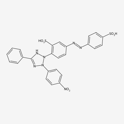 O=[N+]([O-])c1ccc(N2N=C(c3ccccc3)NN2c2ccc(N=Nc3ccc(S(=O)(=O)O)cc3)cc2S(=O)(=O)O)cc1